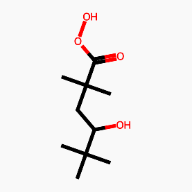 CC(C)(CC(O)C(C)(C)C)C(=O)OO